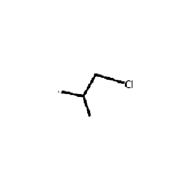 [CH2]C(C)CCl